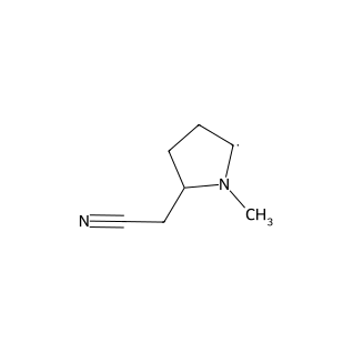 CN1[CH]CCC1CC#N